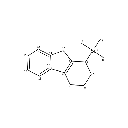 C[Si](C)(C)C1CCCC2=C1Cc1ccccc12